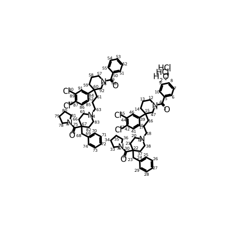 Cl.Cl.O.O=C(c1ccccc1)N1CCCC(CCCN2CCC(Cc3ccccc3)(C(=O)N3CCCC3)CC2)(c2ccc(Cl)c(Cl)c2)C1.O=C(c1ccccc1)N1CCCC(CCCN2CCC(Cc3ccccc3)(C(=O)N3CCCC3)CC2)(c2ccc(Cl)c(Cl)c2)C1